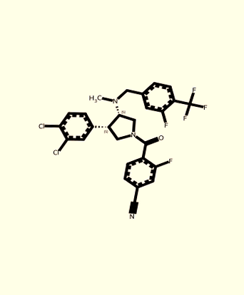 CN(Cc1ccc(C(F)(F)F)c(F)c1)[C@@H]1CN(C(=O)c2ccc(C#N)cc2F)C[C@@H]1c1ccc(Cl)c(Cl)c1